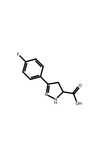 O=C(O)C1CC(c2ccc(F)cc2)=NN1